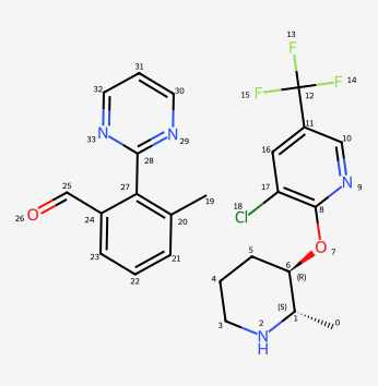 C[C@@H]1NCCC[C@H]1Oc1ncc(C(F)(F)F)cc1Cl.Cc1cccc(C=O)c1-c1ncccn1